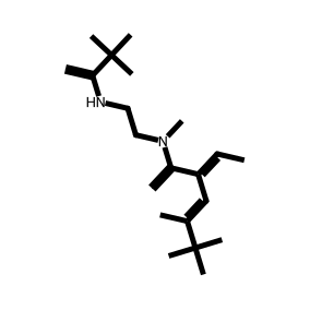 C=C(C(=C/C)/C=C(\C)C(C)(C)C)N(C)CCNC(=C)C(C)(C)C